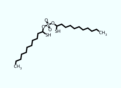 CCCCCCCCCCC(S)OS(=O)(=O)OC(S)CCCCCCCCCC